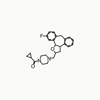 O=C(C1CC1)N1CCN(CC2CC3c4ccccc4Cc4ccc(F)cc4C3O2)CC1